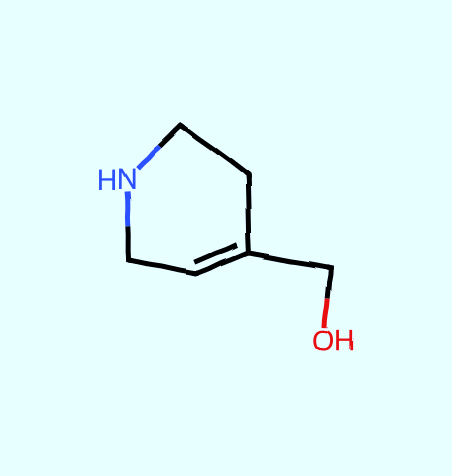 OCC1=CCNCC1